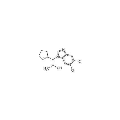 CC(O)C(C1CCCC1)n1cnc2cc(Cl)c(Cl)cc21